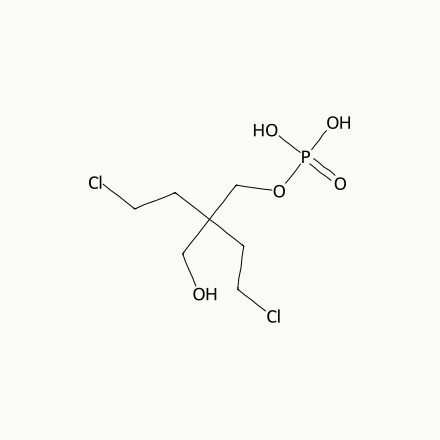 O=P(O)(O)OCC(CO)(CCCl)CCCl